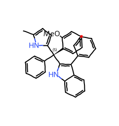 COc1ccccc1[C@@](c1ccccc1)(c1ccc(C)[nH]1)c1[nH]c2ccccc2c1-c1ccccc1